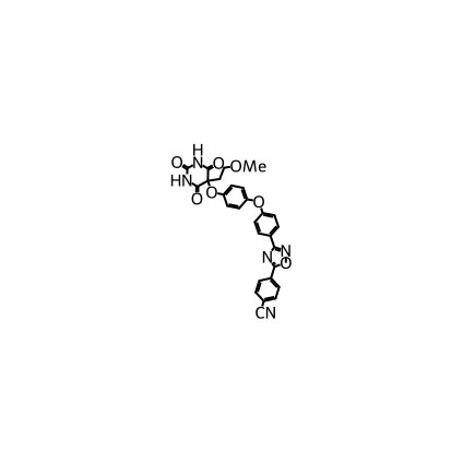 COCCC1(Oc2ccc(Oc3ccc(-c4noc(-c5ccc(C#N)cc5)n4)cc3)cc2)C(=O)NC(=O)NC1=O